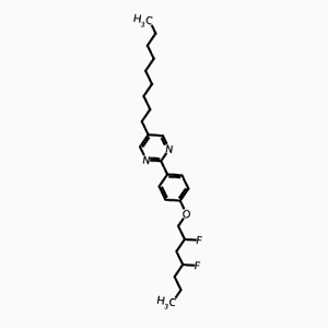 CCCCCCCCCc1cnc(-c2ccc(OCC(F)CC(F)CCC)cc2)nc1